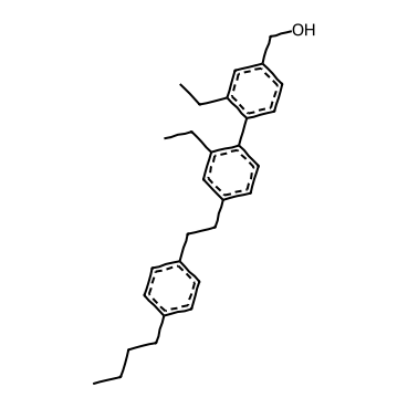 CCCCc1ccc(CCc2ccc(-c3ccc(CO)cc3CC)c(CC)c2)cc1